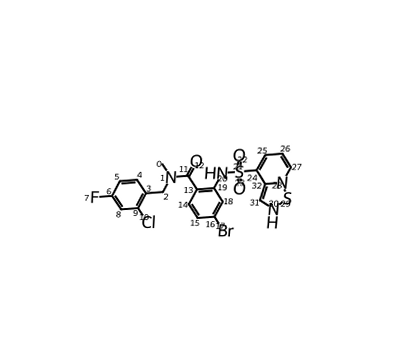 CN(Cc1ccc(F)cc1Cl)C(=O)c1ccc(Br)cc1NS(=O)(=O)C1=CC=CN2SNC=C12